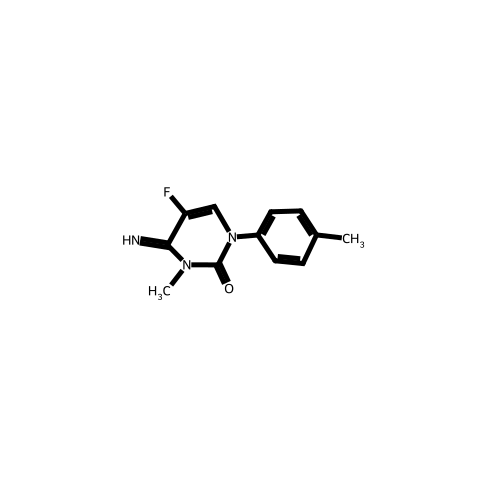 Cc1ccc(-n2cc(F)c(=N)n(C)c2=O)cc1